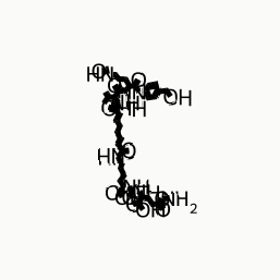 CC(C)C(NC(=O)CCCCCCC(=O)NCCCCC(NC(=O)NC(CCC(=O)ON)C(=O)O)C(=O)O)C(=O)NC(CCCNC=O)C(=O)Nc1ccc(CO)cc1